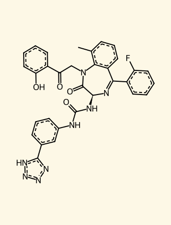 Cc1cccc2c1N(CC(=O)c1ccccc1O)C(=O)[C@H](NC(=O)Nc1cccc(-c3nnn[nH]3)c1)N=C2c1ccccc1F